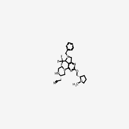 CN1CCC[C@H]1COc1nc2c(c(N3CCN[C@@H](CC#N)C3)n1)C(C(F)(F)F)N(Cc1ccccc1)C2